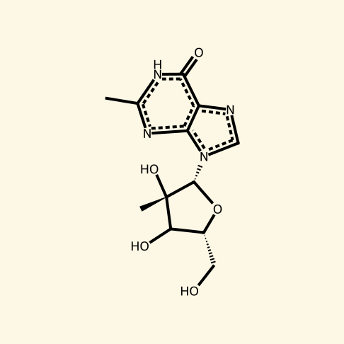 Cc1nc2c(ncn2[C@@H]2O[C@H](CO)C(O)[C@]2(C)O)c(=O)[nH]1